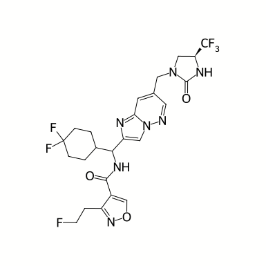 O=C(NC(c1cn2ncc(CN3C[C@@H](C(F)(F)F)NC3=O)cc2n1)C1CCC(F)(F)CC1)c1conc1CCF